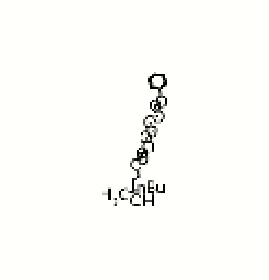 CCCCC(C)(O)CCOOOOOOOOOOc1ccccc1